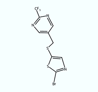 FC(F)(F)c1ncc(CSc2cnc(Br)s2)cn1